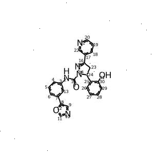 O=C(Nc1cccc(-c2cnco2)c1)N1N=C(c2cccnc2)CC1c1ccccc1O